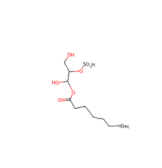 CCCCCCCCCCCCCCCC(=O)OC(O)C(CO)OS(=O)(=O)O